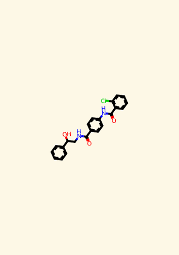 O=C(NCC(O)c1ccccc1)c1ccc(NC(=O)c2ccccc2Cl)cc1